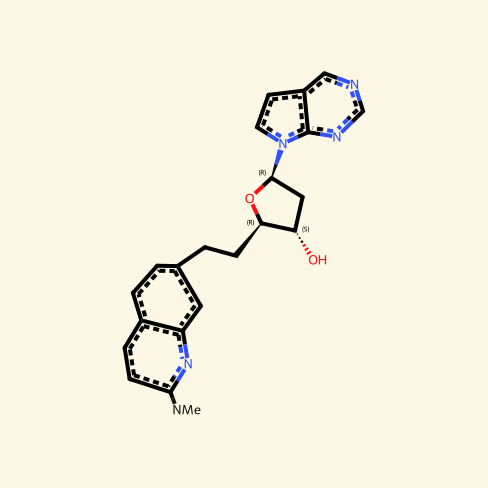 CNc1ccc2ccc(CC[C@H]3O[C@@H](n4ccc5cncnc54)C[C@@H]3O)cc2n1